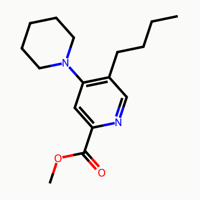 CCCCc1cnc(C(=O)OC)cc1N1CCCCC1